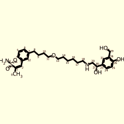 CC(=Cc1cccc(CCCCOCCCCCCNC[C@H](O)c2ccc(O)c(CO)c2)c1)S(N)(=O)=O